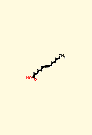 CCCCCCC#CCCCCCC(=O)O